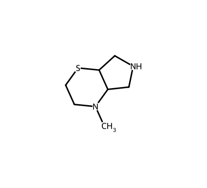 CN1CCSC2CNCC21